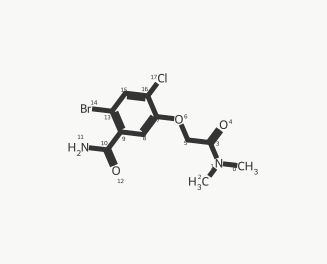 CN(C)C(=O)COc1cc(C(N)=O)c(Br)cc1Cl